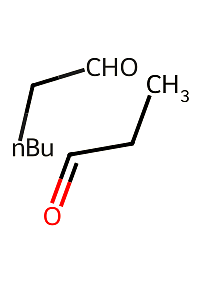 CCC=O.CCCCCC=O